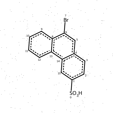 O=S(=O)(O)c1ccc2cc(Br)c3ccccc3c2c1